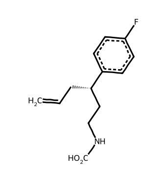 C=CC[C@@H](CCNC(=O)O)c1ccc(F)cc1